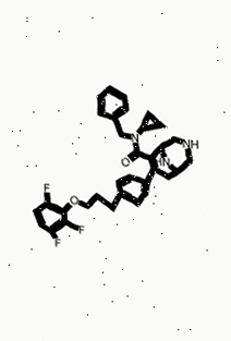 O=C(C1=C(c2ccc(CCCOc3c(F)ccc(F)c3F)cc2)CC2CNCC1N2)N(Cc1ccccc1)C1CC1